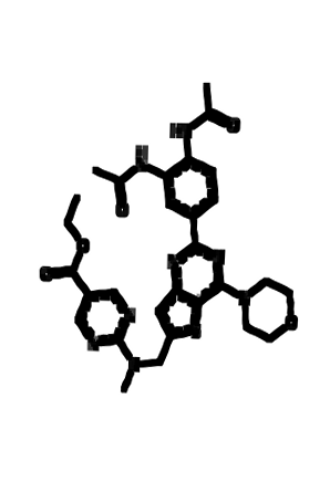 CCOC(=O)c1cnc(N(C)Cc2cc3nc(-c4ccc(NC(C)=O)c(NC(C)=O)c4)nc(N4CCOCC4)c3s2)nc1